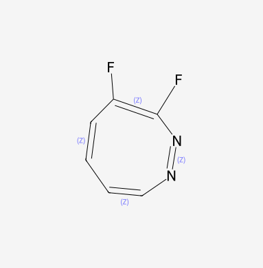 FC1=C(F)/N=N\C=C/C=C\1